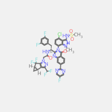 Cn1nc(NS(C)(=O)=O)c2c(Cl)ccc(-n3c([C@H](Cc4cc(F)cc(F)c4)NC(=O)Cn4nc(C(F)F)c5c4C(F)(F)[C@@H]4C[C@H]54)nc4cc(-c5ncc(F)cn5)ccc4c3=O)c21